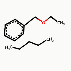 CCOCc1ccccc1.[CH2]CCCC